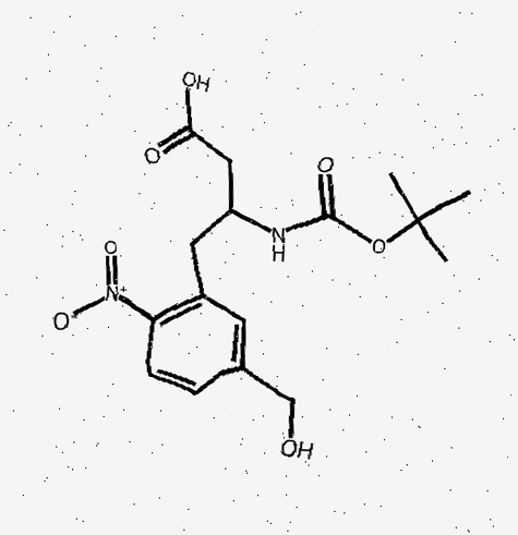 CC(C)(C)OC(=O)NC(CC(=O)O)Cc1cc(CO)ccc1[N+](=O)[O-]